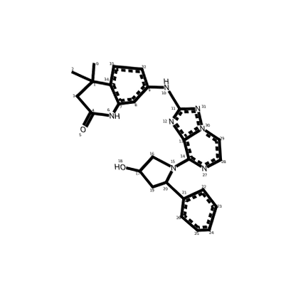 CC1(C)CC(=O)Nc2cc(Nc3nc4c(N5CC(O)CC5c5ccccc5)nccn4n3)ccc21